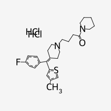 Cc1csc(C(=C2CCN(CCCC(=O)N3CCCCC3)CC2)c2ccc(F)cc2)c1.Cl.Cl